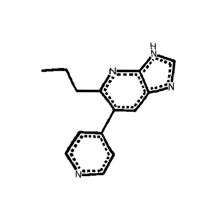 CCCc1nc2[nH]cnc2cc1-c1ccncc1